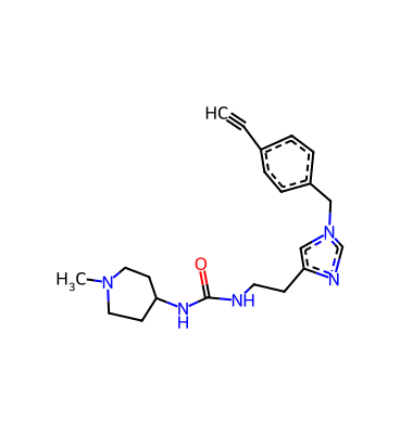 C#Cc1ccc(Cn2cnc(CCNC(=O)NC3CCN(C)CC3)c2)cc1